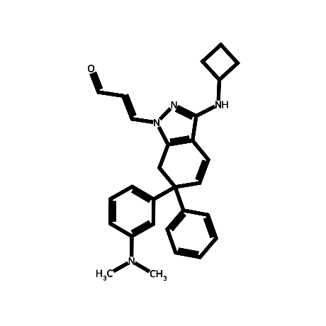 CN(C)c1cccc(C2(c3ccccc3)C=Cc3c(NC4CCC4)nn(C=CC=O)c3C2)c1